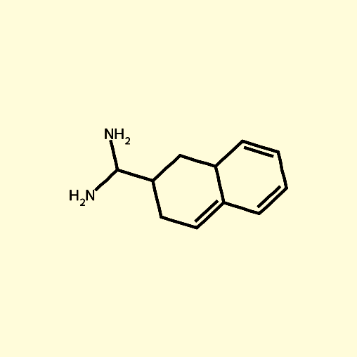 NC(N)C1CC=C2C=CC=CC2C1